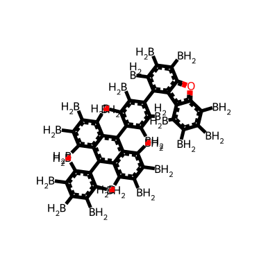 Bc1c(B)c(B)c(-c2c3c(B)c(B)c(B)c(B)c3c(-c3c(B)c(B)c(-c4c(B)c(B)c(B)c5oc6c(B)c(B)c(B)c(B)c6c45)c(B)c3B)c3c(B)c(B)c(B)c(B)c23)c(B)c1B